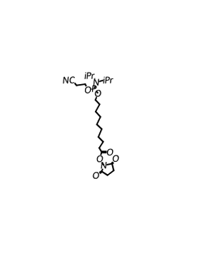 CC(C)N(C(C)C)P(OCCC#N)OCCCCCCCCCC(=O)ON1C(=O)CCC1=O